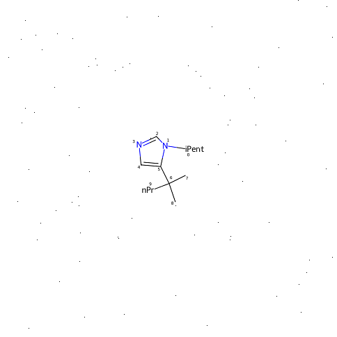 CCCC(C)n1cncc1C(C)(C)CCC